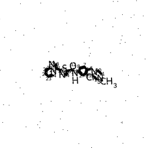 CN1CCN(Cc2ccc(NC(=O)c3cnc(-c4cnc5ccccn45)s3)cc2C(F)(F)F)CC1